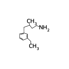 CCc1cccc(CC(C)CCN)c1